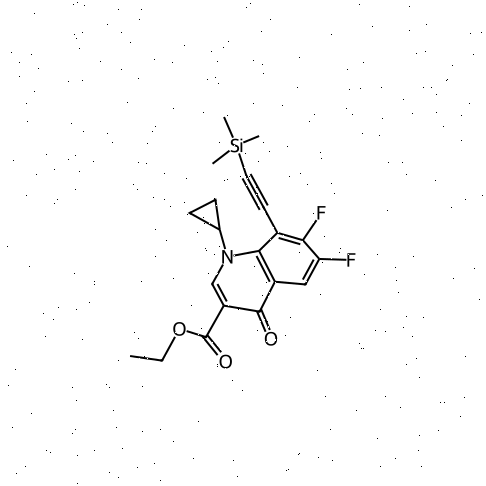 CCOC(=O)c1cn(C2CC2)c2c(C#C[Si](C)(C)C)c(F)c(F)cc2c1=O